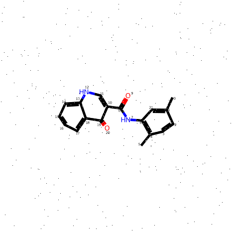 Cc1ccc(C)c(NC(=O)c2c[nH]c3ccccc3c2=O)c1